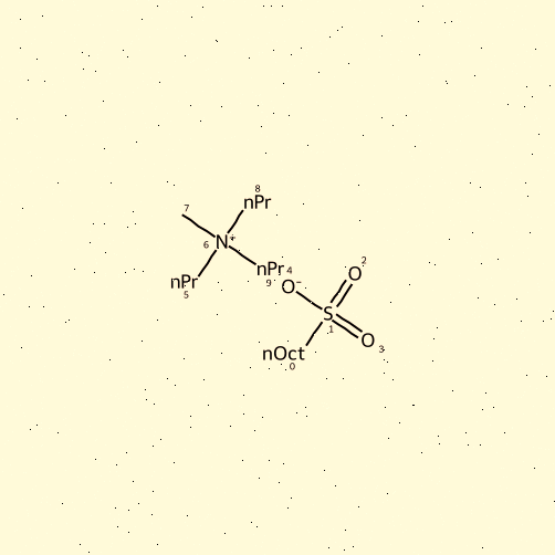 CCCCCCCCS(=O)(=O)[O-].CCC[N+](C)(CCC)CCC